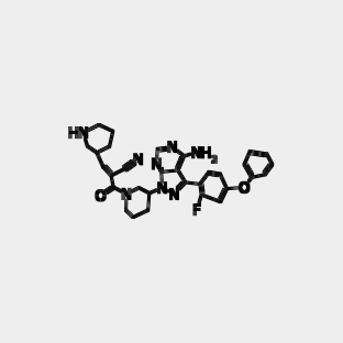 N#CC(=CC1CCCNC1)C(=O)N1CCCC(n2nc(-c3ccc(Oc4ccccc4)cc3F)c3c(N)ncnc32)C1